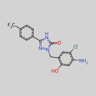 Nc1cc(O)c(Cn2nc(-c3ccc(C(F)(F)F)cc3)[nH]c2=O)cc1Cl